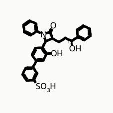 O=C1C(CC[C@H](O)c2ccccc2)C(c2ccc(-c3cccc(S(=O)(=O)O)c3)cc2O)N1c1ccccc1